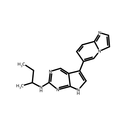 CCC(C)Nc1ncc2c(-c3ccc4nccn4c3)c[nH]c2n1